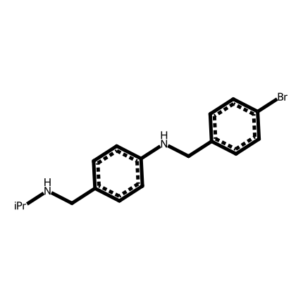 CC(C)NCc1ccc(NCc2ccc(Br)cc2)cc1